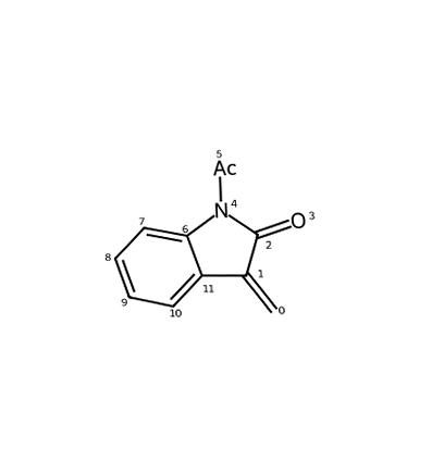 C=C1C(=O)N(C(C)=O)c2ccccc21